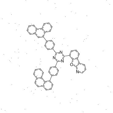 c1ccc2c(c1)cc(-c1ccc(-c3nc(-c4ccc(-c5cccc6ccc7ccccc7c56)cc4)nc(-c4cccc5c4oc4ncccc45)n3)cc1)c1ccccc12